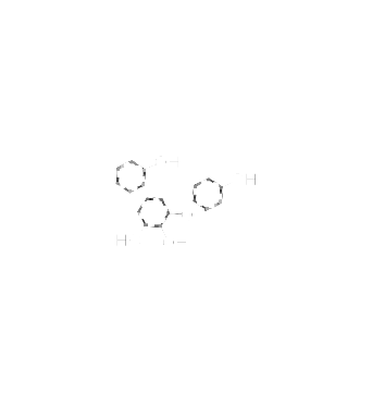 Oc1cccc(O)c1O.Oc1ccccc1.Oc1ccccc1